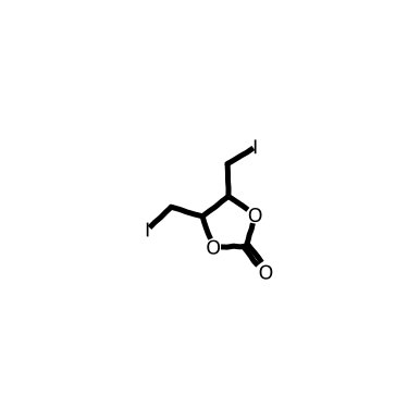 O=C1OC(CI)C(CI)O1